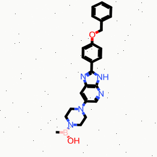 CB(O)N1CCN(c2cnc3[nH]c(-c4ccc(OCc5ccccc5)cc4)nc3c2)CC1